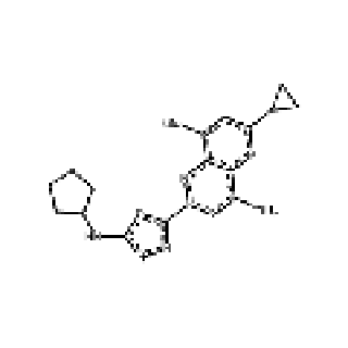 CC(C)(C)c1cc(C2CC2)cc2c(N)cc(-c3nnc(NC4CCCC4)o3)nc12